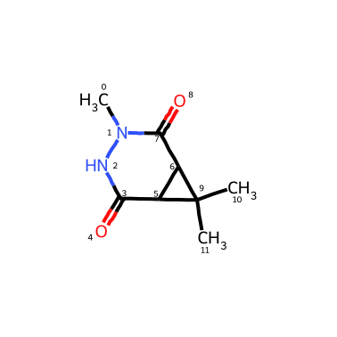 CN1NC(=O)C2C(C1=O)C2(C)C